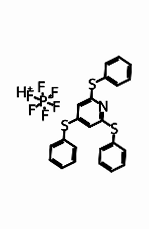 F[P-](F)(F)(F)(F)F.[H+].c1ccc(Sc2cc(Sc3ccccc3)nc(Sc3ccccc3)c2)cc1